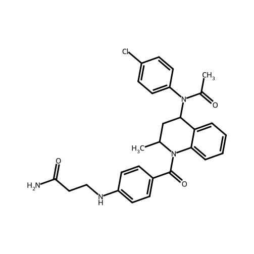 CC(=O)N(c1ccc(Cl)cc1)C1CC(C)N(C(=O)c2ccc(NCCC(N)=O)cc2)c2ccccc21